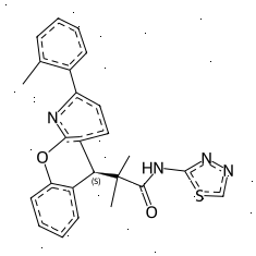 Cc1ccccc1-c1ccc2c(n1)Oc1ccccc1[C@@H]2C(C)(C)C(=O)Nc1nncs1